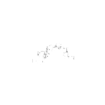 N#Cc1ccc(COc2cccc(C3CCN(Cc4nn5cc(C(=O)O)sc5c4CC4CCO4)CC3)n2)c(F)c1